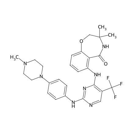 CN1CCN(c2ccc(Nc3ncc(C(F)(F)F)c(Nc4cccc5c4C(=O)NC(C)(C)CO5)n3)cc2)CC1